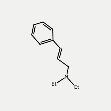 CCN(CC)CC=Cc1ccccc1